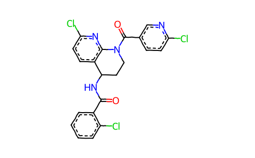 O=C(NC1CCN(C(=O)c2ccc(Cl)nc2)c2nc(Cl)ccc21)c1ccccc1Cl